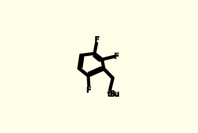 CC(C)(C)Cc1c(F)ccc(F)c1F